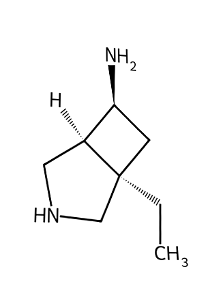 CC[C@]12CNC[C@H]1[C@@H](N)C2